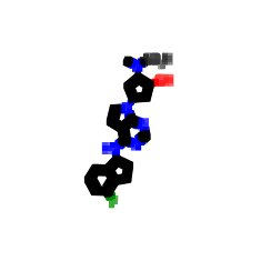 CN([C@H]1C[C@@H](n2ccc3c(N[C@H]4CCc5c(F)cccc54)ncnc32)C[C@@H]1O)S(=O)(=O)O